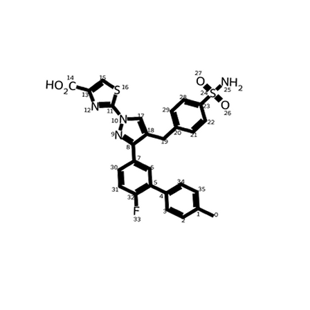 Cc1ccc(-c2cc(-c3nn(-c4nc(C(=O)O)cs4)cc3Cc3ccc(S(N)(=O)=O)cc3)ccc2F)cc1